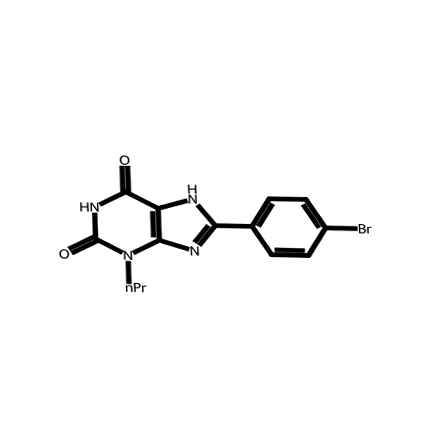 CCCn1c(=O)[nH]c(=O)c2[nH]c(-c3ccc(Br)cc3)nc21